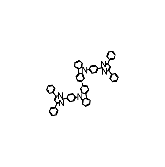 c1ccc(-c2cc(-c3ccccc3)nc(-c3ccc(-n4c5ccccc5c5ccc(-c6ccc7c8ccccc8n(-c8ccc(-c9nc(-c%10ccccc%10)cc(-c%10ccccc%10)n9)cc8)c7c6)cc54)cc3)n2)cc1